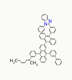 C=C/C=C\C=C(/C)c1cccc(-c2c3ccccc3c(-c3cccc(-c4ccccc4)c3)c3cc(-c4c5ccccc5c(-c5cccc(-c6nc7ccccc7n6-c6ccccc6)c5)c5ccccc45)ccc23)c1